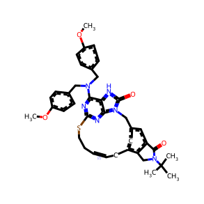 COc1ccc(CN(Cc2ccc(OC)cc2)c2nc3nc4c2[nH]c(=O)n4Cc2cc(c4c(c2)C(=O)N(C(C)(C)C)C4)C/C=C\CCS3)cc1